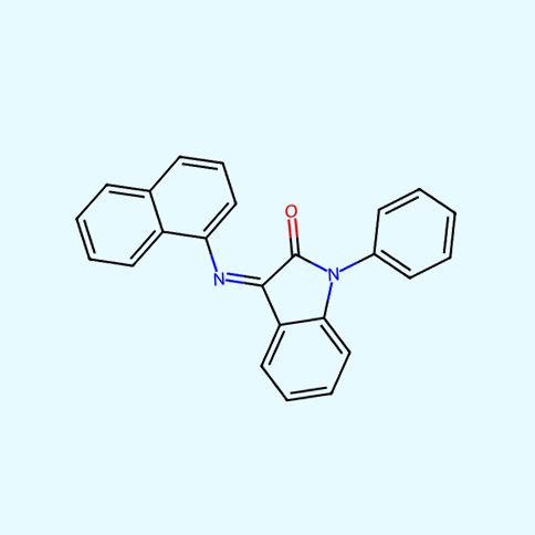 O=C1/C(=N\c2cccc3ccccc23)c2ccccc2N1c1ccccc1